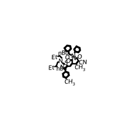 CCCCC(CC)CN(CC(CC)CCCC)c1nc(-c2ccc(C)cc2)c(/C=C2\C(=O)N(N(C(=O)c3ccccc3)c3ccccc3)C(=O)C(C#N)=C2C)s1